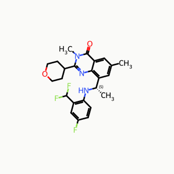 Cc1cc([C@H](C)Nc2ccc(F)cc2C(F)F)c2nc(C3CCOCC3)n(C)c(=O)c2c1